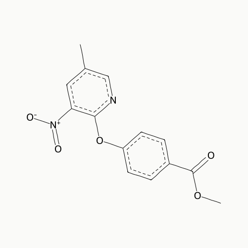 COC(=O)c1ccc(Oc2ncc(C)cc2[N+](=O)[O-])cc1